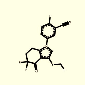 N#Cc1cc(-n2cc(SCF)c3c2CCC(F)(F)C3=O)ccc1F